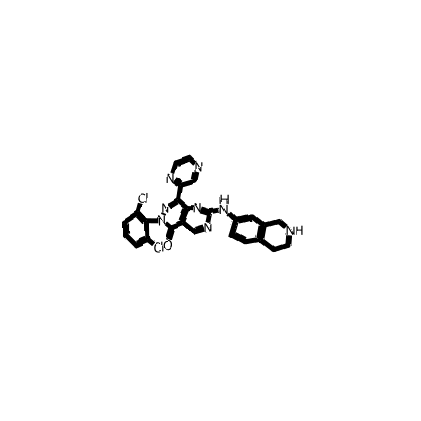 O=c1c2cnc(Nc3ccc4c(c3)CNCC4)nc2c(-c2cnccn2)nn1-c1c(Cl)cccc1Cl